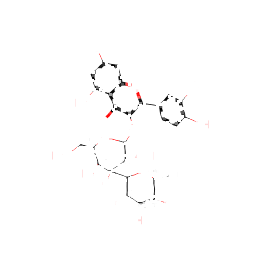 C[C@H]1OC([C@@]2(O)[C@@H](O)C(Oc3c(-c4ccc(O)c(O)c4)oc4cc(O)cc(O)c4c3=O)O[C@H](CO)[C@@H]2O)[C@@H](O)[C@@H](O)[C@@H]1O